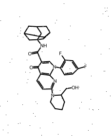 O=C(NC12CC3CC(CC(C3)C1)C2)c1cn(-c2ccc(F)cc2F)c2nc(N3CCCCC3CO)ccc2c1=O